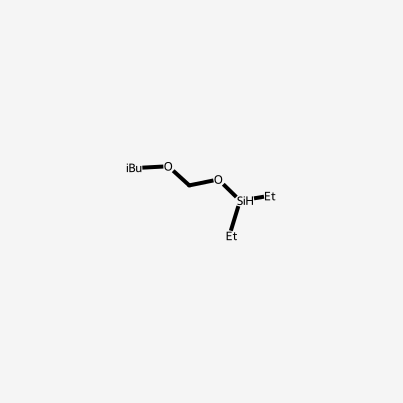 CCC(C)OCO[SiH](CC)CC